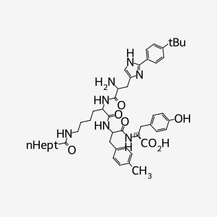 CCCCCCCC(=O)NCCCCC(NC(=O)C(N)Cc1c[nH]c(-c2ccc(C(C)(C)C)cc2)n1)C(=O)NC(Cc1ccc(C)cc1)C(=O)N[C@@H](Cc1ccc(O)cc1)C(=O)O